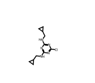 Clc1nc(NCC2CC2)nc(NCC2CC2)n1